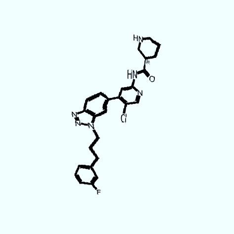 O=C(Nc1cc(-c2ccc3nnn(CCCc4cccc(F)c4)c3c2)c(Cl)cn1)[C@@H]1CCCNC1